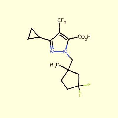 CC1(Cn2nc(C3CC3)c(C(F)(F)F)c2C(=O)O)CCC(F)(F)C1